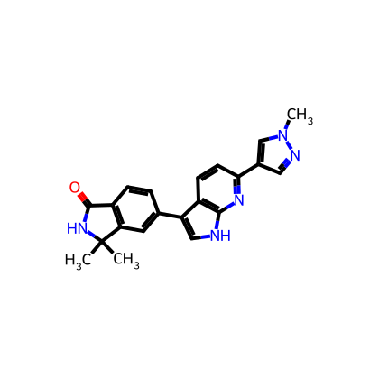 Cn1cc(-c2ccc3c(-c4ccc5c(c4)C(C)(C)NC5=O)c[nH]c3n2)cn1